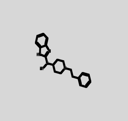 CC(C)N(c1nc2ccccc2[nH]1)C1CCN(CCc2ccccc2)CC1